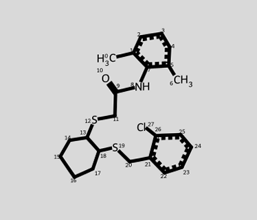 Cc1cccc(C)c1NC(=O)CSC1CCCCC1SCc1ccccc1Cl